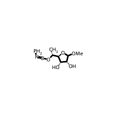 COC1O[C@H]([C@@H](C)OB=NP)[C@@H](O)[C@H]1O